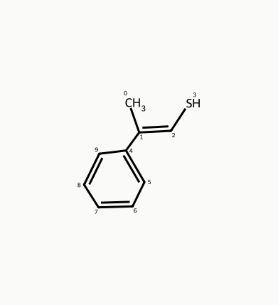 C/C(=C\S)c1ccccc1